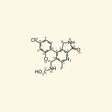 Cc1nc2c(c(-c3ccc(Cl)cc3Cl)c1CNC(=O)O)CNC2=O